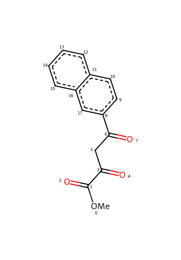 COC(=O)C(=O)CC(=O)c1ccc2ccccc2c1